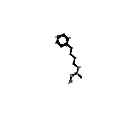 CC[O][Ti]([CH3])[O]CCCCc1ccncc1